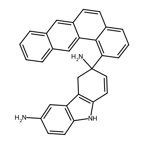 Nc1ccc2[nH]c3c(c2c1)CC(N)(c1cccc2ccc4cc5ccccc5cc4c12)C=C3